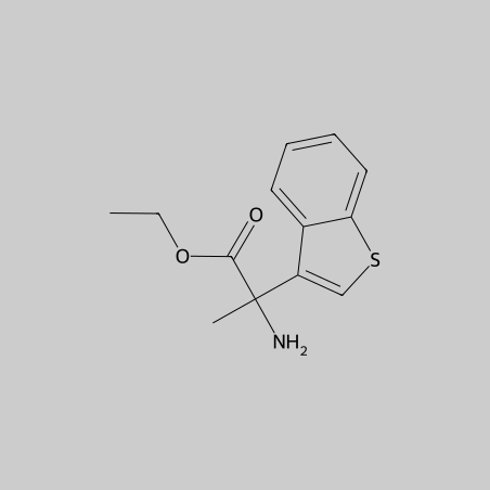 CCOC(=O)C(C)(N)c1csc2ccccc12